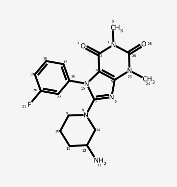 Cn1c(=O)c2c(nc(N3CCCC(N)C3)n2-c2cccc(F)c2)n(C)c1=O